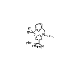 CN(Cc1cccc(C(F)(F)F)c1)c1cccc(-c2nn[nH]c2C#N)c1